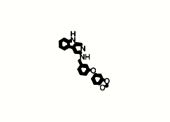 c1cc(CNc2cc3c(cn2)[nH]c2ccccc23)cc(Oc2ccc3c(c2)OCO3)c1